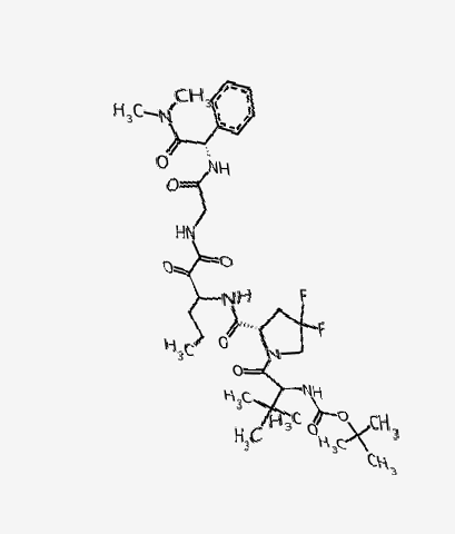 CCCC(NC(=O)[C@@H]1CC(F)(F)CN1C(=O)[C@@H](NC(=O)OC(C)(C)C)C(C)(C)C)C(=O)C(=O)NCC(=O)N[C@H](C(=O)N(C)C)c1ccccc1